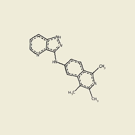 Cc1nc(C)c2ccc(Nc3n[nH]c4cccnc34)cc2c1C